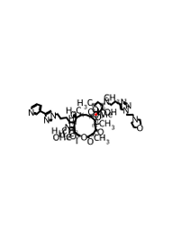 CO[C@]1(C)C[C@@H](C)C(=O)[C@@H]2C(CCCn3cnc(-c4cccnc4)c3)N(C)[C@H]2[C@](C)(OC=O)[C@@H](I)OC(=O)[C@H](C)C(=O)[C@H](C)[C@H]1O[C@@H]1O[C@H](C)C[C@H](N(C)CCc2cn(CCN3CCOCC3)nn2)[C@H]1O